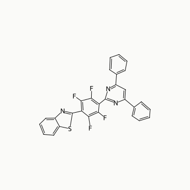 Fc1c(F)c(-c2nc3ccccc3s2)c(F)c(F)c1-c1nc(-c2ccccc2)cc(-c2ccccc2)n1